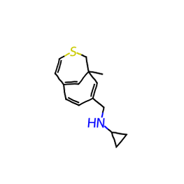 CC12C=C(C=CSC1)C=CC(CNC1CC1)=C2